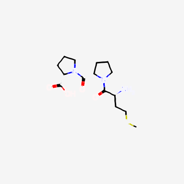 CSCC[C@H](N)C(=O)N1CCC[C@H]1C(=O)N1CCC[C@H]1C(=O)O